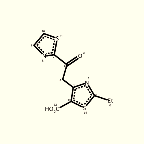 CCc1nc(CC(=O)c2nccs2)c(C(=O)O)s1